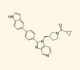 O=C(C1CC1)N1CC[C@@H](Cn2c(-c3ccc(-c4ccc5[nH]ccc5c4)cc3)nc3cnccc32)C1